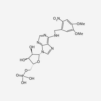 COc1cc(CNc2ncnc3c2ncn3[C@@H]2O[C@H](COP(=O)(O)O)[C@@H](O)[C@H]2O)c([N+](=O)[O-])cc1OC